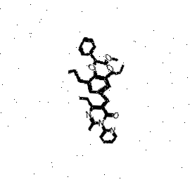 CCCc1cc(Cc2c(CC)nc(C)n(-c3ccccn3)c2=O)cc(CCC)c1OC(C(=O)OC)c1ccccc1